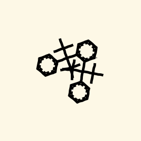 CC(C)(C)C(c1ccccc1)(c1[c]cccc1C(c1ccccc1)(C(C)(C)C)C(C)(C)C)C(C)(C)C